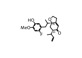 C=CC(C)[C@H]1C[C@]2(C(C)Cc3cc(O)c(OC)cc3F)OCCC2=CC1=O